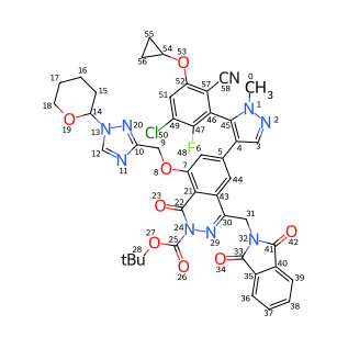 Cn1ncc(-c2cc(OCc3ncn(C4CCCCO4)n3)c3c(=O)n(C(=O)OC(C)(C)C)nc(CN4C(=O)c5ccccc5C4=O)c3c2)c1-c1c(F)c(Cl)cc(OC2CC2)c1C#N